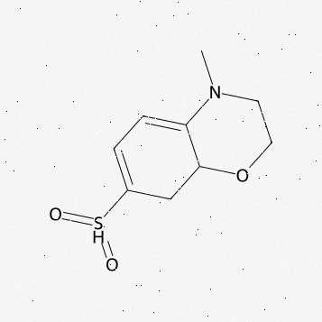 CN1CCOC2CC([SH](=O)=O)=CC=C21